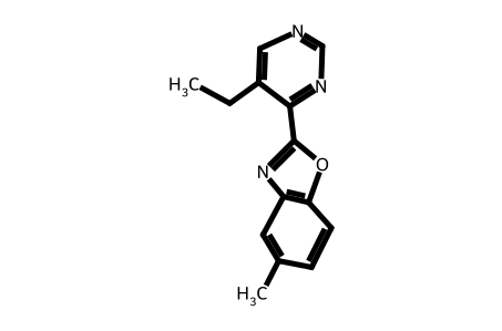 CCc1cncnc1-c1nc2cc(C)ccc2o1